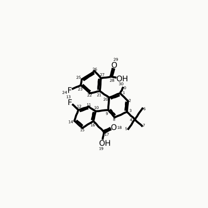 Cc1cc(C(C)(C)C)cc(-c2cc(F)ccc2C(=O)O)c1-c1cc(F)ccc1C(=O)O